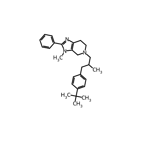 CC(Cc1ccc(C(C)(C)C)cc1)CN1CCc2nc(-c3ccccc3)n(C)c2C1